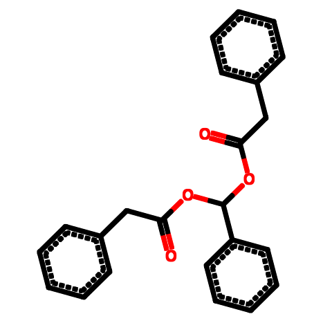 O=C(Cc1ccccc1)OC(OC(=O)Cc1ccccc1)c1ccccc1